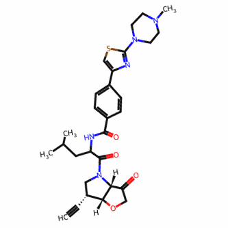 C#C[C@@H]1CN(C(=O)C(CC(C)C)NC(=O)c2ccc(-c3csc(N4CCN(C)CC4)n3)cc2)[C@@H]2C(=O)CO[C@H]12